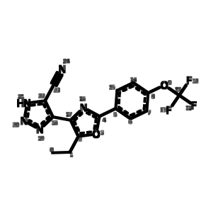 CCc1oc(-c2ccc(OC(F)(F)F)cc2)nc1-c1nn[nH]c1C#N